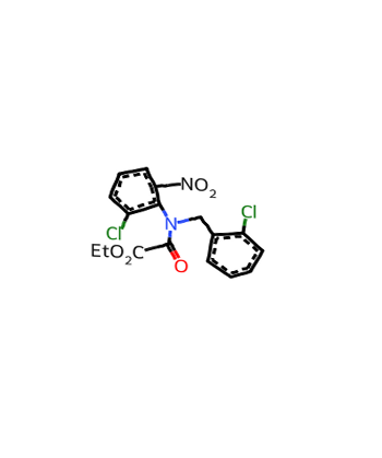 CCOC(=O)C(=O)N(Cc1ccccc1Cl)c1c(Cl)cccc1[N+](=O)[O-]